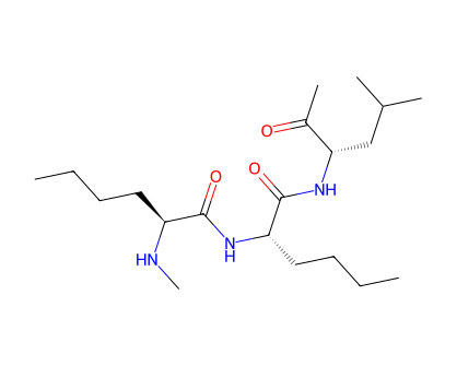 CCCC[C@H](NC)C(=O)N[C@@H](CCCC)C(=O)N[C@@H](CC(C)C)C(C)=O